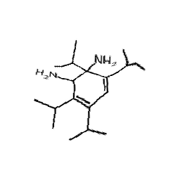 CC(C)C1=CC(C(C)C)=C(C(C)C)C(N)C1(N)C(C)C